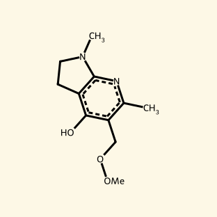 COOCc1c(C)nc2c(c1O)CCN2C